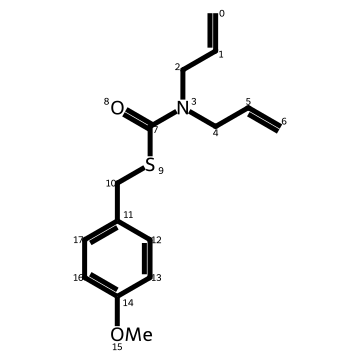 C=CCN(CC=C)C(=O)SCc1ccc(OC)cc1